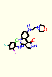 O=c1[nH]ccc2c(Nc3c(Cl)cc(F)cc3I)nc3ccc(NCCN4CCOCC4)cc3c12